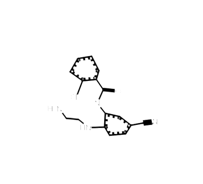 N#Cc1ccc(NCCN)c(NC(=O)c2ccccc2Cl)c1